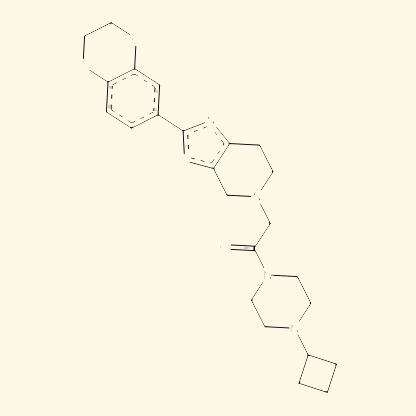 O=C(CN1CCc2nc(-c3ccc4c(c3)OCCO4)sc2C1)N1CCN(C2CCC2)CC1